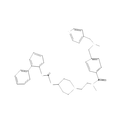 CN(Cc1ccncc1)Cc1ccc(C(=O)N(C)CCN2CCC(OC(=O)Nc3ccccc3-c3ccccc3)CC2)cc1